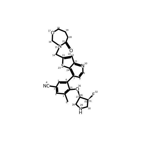 Cc1cc(C#N)cc(-c2ccnc3cc(CN4COCCCC4=O)sc23)c1O[C@@H]1CNC[C@@H]1F